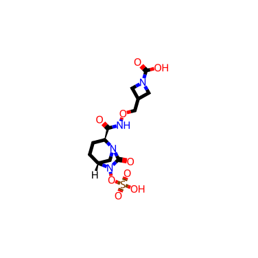 O=C(NOCC1CN(C(=O)O)C1)[C@@H]1CC[C@@H]2CN1C(=O)N2OS(=O)(=O)O